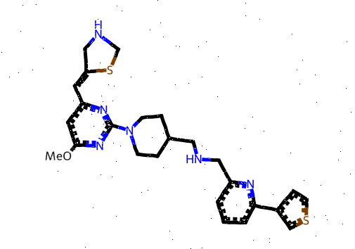 COc1cc(C=C2CNCS2)nc(N2CCC(CNCc3cccc(-c4ccsc4)n3)CC2)n1